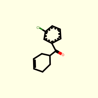 O=C(c1cccc(Cl)c1)C1CC=CCC1